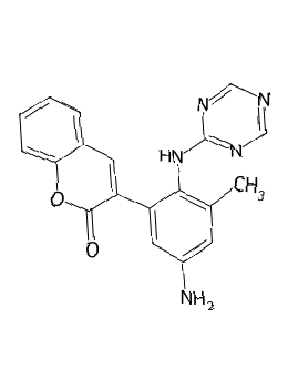 Cc1cc(N)cc(-c2cc3ccccc3oc2=O)c1Nc1ncncn1